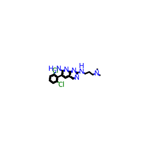 CN(C)CCCNc1ncc2cc(-c3c(Cl)cccc3Cl)c(N)nc2n1